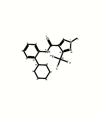 Cn1cc(C(=O)Nc2ccccc2C2CCCCC2)c(C(F)(F)F)n1